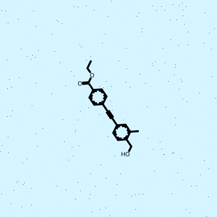 CCOC(=O)c1ccc(C#Cc2ccc(CO)c(C)c2)cc1